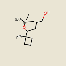 CCCC1(C(CCCO)O[Si](C)(C)C(C)(C)C)CCC1